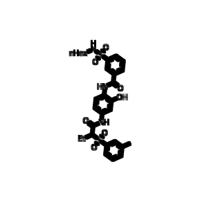 CCCCCCNS(=O)(=O)c1cccc(C(=O)Nc2ccc(NC(=O)C(CC)S(=O)(=O)c3cccc(C)c3)cc2O)c1